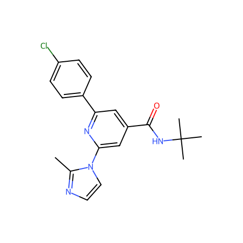 Cc1nccn1-c1cc(C(=O)NC(C)(C)C)cc(-c2ccc(Cl)cc2)n1